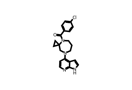 O=C(c1ccc(Cl)cc1)N1CCCN(c2ccnc3[nH]ccc23)CC12CC2